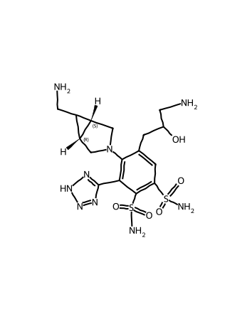 NCC(O)Cc1cc(S(N)(=O)=O)c(S(N)(=O)=O)c(-c2nn[nH]n2)c1N1C[C@@H]2C(CN)[C@@H]2C1